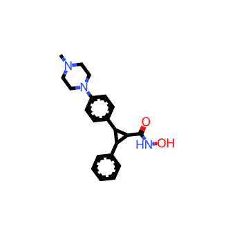 CN1CCN(c2ccc(C3C(C(=O)NO)C3c3ccccc3)cc2)CC1